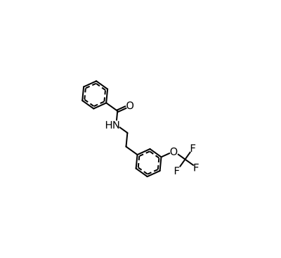 O=C(NCCc1cccc(OC(F)(F)F)c1)c1ccccc1